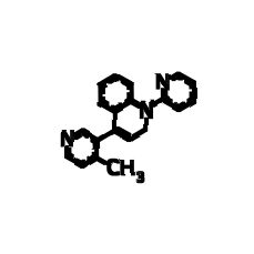 Cc1ccncc1C1=CCN(c2ccccn2)c2ccccc21